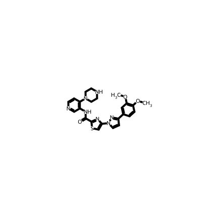 COc1ccc(-c2ccn(-c3csc(C(=O)Nc4cnccc4N4CCNCC4)n3)n2)cc1OC